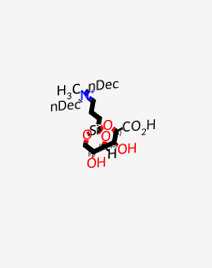 CCCCCCCCCC[N+](C)(CCCCCCCCCC)CCC[Si]12OC[C@@H](O)[C@@H](O1)[C@H](O)[C@H](C(=O)O)O2